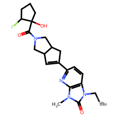 Cn1c(=O)n(CC(C)(C)C)c2ccc(C3=CC4CN(C(=O)C5(O)CCCC5F)CC4C3)nc21